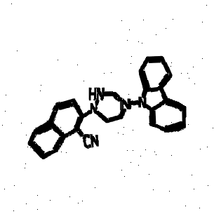 N#Cc1c(N2CCN(n3c4ccccc4c4ccccc43)CN2)ccc2ccccc12